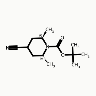 C[C@@H]1CC(C#N)C[C@@H](C)N1C(=O)OC(C)(C)C